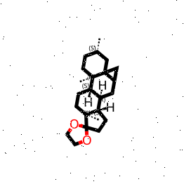 C[C@H]1CC[C@]2(C)[C@H]3CC[C@@]4(C)[C@@H](CCC45OCCO5)[C@@H]3CC3CC32C1